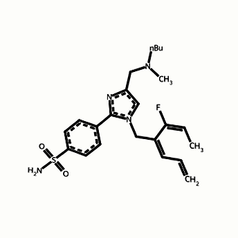 C=C/C=C(Cn1cc(CN(C)CCCC)nc1-c1ccc(S(N)(=O)=O)cc1)\C(F)=C/C